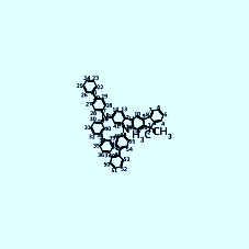 CC1(C)c2ccccc2-c2cc3c4ccc(N(c5ccc(-c6ccccc6)cc5)c5cccc(-c6ccccc6)c5)cc4n(-c4ccc(-c5ccccc5)cc4)c3cc21